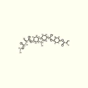 C=C(C)C(=O)Oc1ccc(OC(=O)c2ccc3c(c2)C(C)c2cc(OC(=O)C(=C)CC(=O)OCC)ccc2-3)cc1